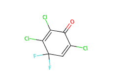 O=C1C(Cl)=CC(F)(F)C(Cl)=C1Cl